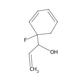 C=CC(O)C1(F)C=CC=CC1